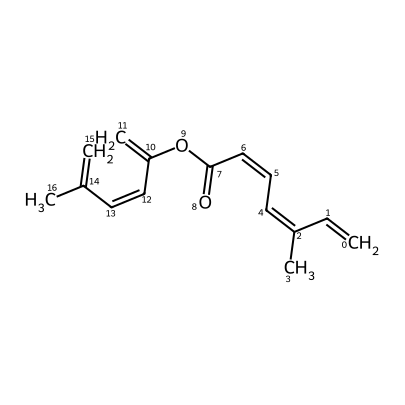 C=C/C(C)=C\C=C/C(=O)OC(=C)/C=C\C(=C)C